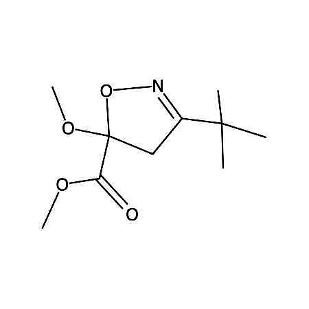 COC(=O)C1(OC)CC(C(C)(C)C)=NO1